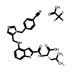 CC(C)C[C@H](NC(=O)c1cc2c(NCc3cncn3Cc3ccc(C#N)cc3)cccc2s1)C(=O)O.O=C(O)C(F)(F)F